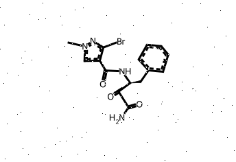 Cn1cc(C(=O)N[C@@H](Cc2ccccc2)C(=O)C(N)=O)c(Br)n1